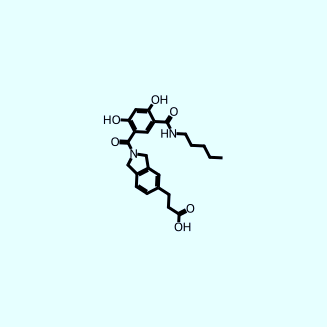 CCCCCNC(=O)c1cc(C(=O)N2Cc3ccc(CCC(=O)O)cc3C2)c(O)cc1O